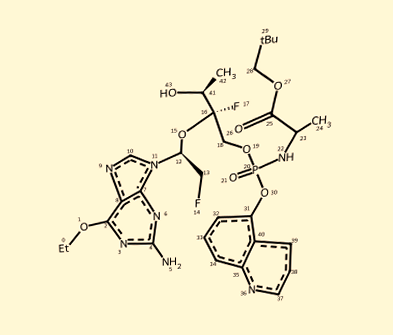 CCOc1nc(N)nc2c1ncn2[C@H](CF)O[C@](F)(COP(=O)(NC(C)C(=O)OCC(C)(C)C)Oc1cccc2ncccc12)[C@H](C)O